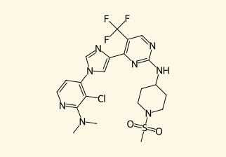 CN(C)c1nccc(-n2cnc(-c3nc(NC4CCN(S(C)(=O)=O)CC4)ncc3C(F)(F)F)c2)c1Cl